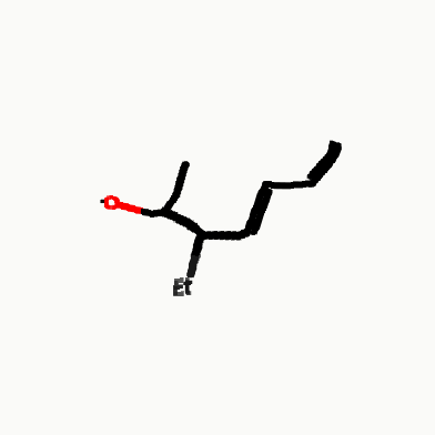 C=CC=CC(CC)C(C)[O]